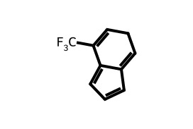 FC(F)(F)C1=CCC=C2C=CC=C21